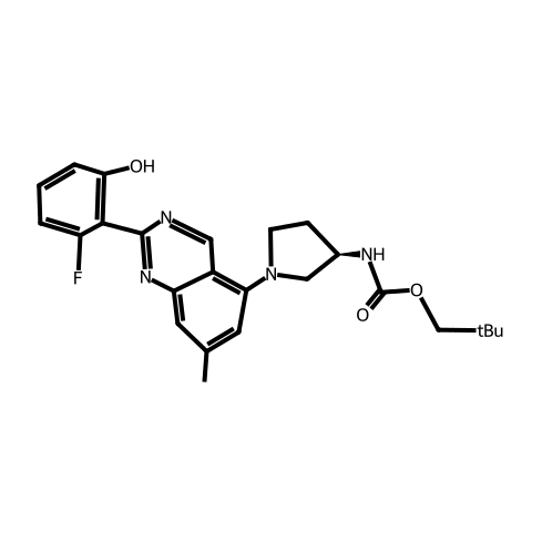 Cc1cc(N2CC[C@@H](NC(=O)OCC(C)(C)C)C2)c2cnc(-c3c(O)cccc3F)nc2c1